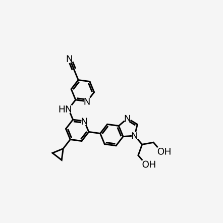 N#Cc1ccnc(Nc2cc(C3CC3)cc(-c3ccc4c(c3)ncn4C(CO)CO)n2)c1